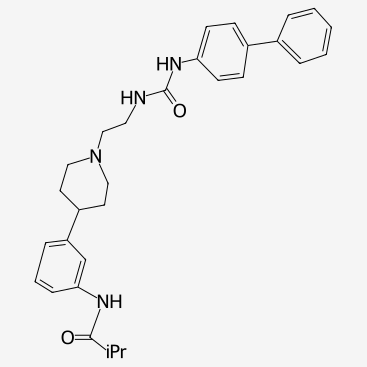 CC(C)C(=O)Nc1cccc(C2CCN(CCNC(=O)Nc3ccc(-c4ccccc4)cc3)CC2)c1